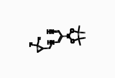 CC1(C)OB(/C(C=N)=C/NCC2CC2(F)F)OC1(C)C